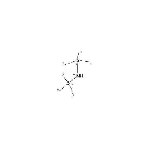 CS(C)(C)NS(C)(C)C